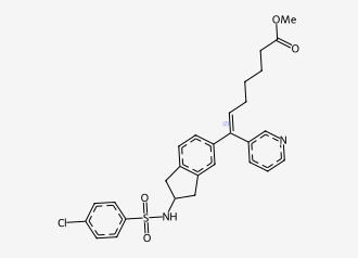 COC(=O)CCCC/C=C(\c1cccnc1)c1ccc2c(c1)CC(NS(=O)(=O)c1ccc(Cl)cc1)C2